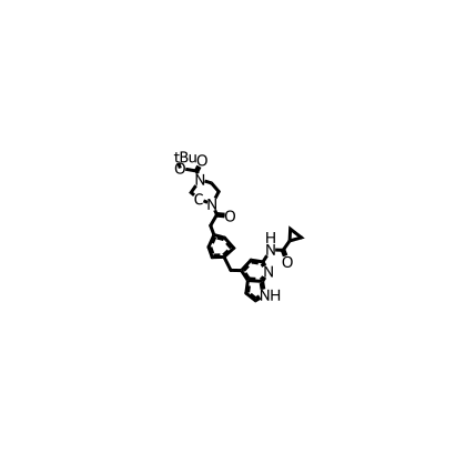 CC(C)(C)OC(=O)N1CCN(C(=O)Cc2ccc(Cc3cc(NC(=O)C4CC4)nc4[nH]ccc34)cc2)CC1